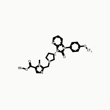 Cn1c(C(=O)OC(C)(C)C)cnc1CN1CC[C@H](n2c(=O)n(-c3ccc(OC(F)(F)F)cc3)c3cccnc32)C1